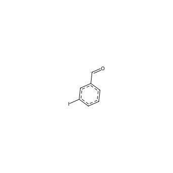 O=[C]c1cccc(I)c1